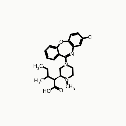 CCC(C)C(C(=O)O)[C@H]1CN(C2=Nc3cc(Cl)ccc3Oc3ccccc32)CCN1C